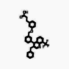 O=C(O)CCc1cccc(OCc2cccc(-c3c(Cc4ccccc4)cnc4c(C(F)(F)F)cccc34)c2)c1